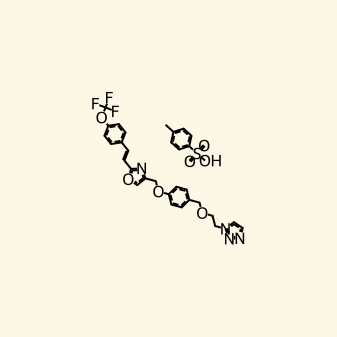 Cc1ccc(S(=O)(=O)O)cc1.FC(F)(F)Oc1ccc(C=Cc2nc(COc3ccc(COCCn4ccnn4)cc3)co2)cc1